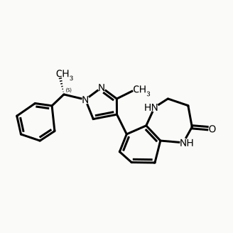 Cc1nn([C@@H](C)c2ccccc2)cc1-c1cccc2c1NCCC(=O)N2